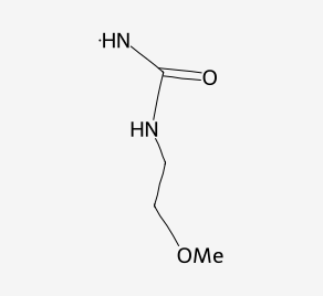 COCCNC([NH])=O